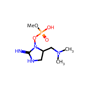 COP(=O)(O)ON1C(=N)NCC1CN(C)C